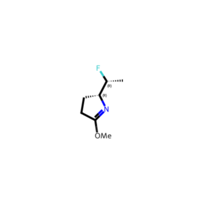 COC1=N[C@@H]([C@@H](C)F)CC1